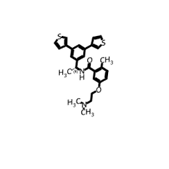 Cc1ccc(OCCN(C)C)cc1C(=O)N[C@H](C)c1cc(-c2ccsc2)cc(-c2ccsc2)c1